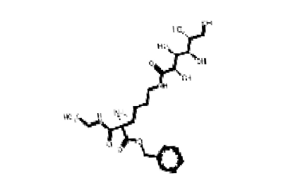 N[C@@](CCCCNC(=O)[C@H](O)[C@@H](O)[C@H](O)[C@H](O)CO)(C(=O)NCC(=O)O)C(=O)OCc1ccccc1